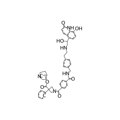 O=C(NCc1ccc(CCNCC(O)c2ccc(O)c3[nH]c(=O)ccc23)cc1)c1ccc(C(=O)N2CC(C(=O)OC3CN4CCC3CC4)(c3ccccc3)C2)cc1